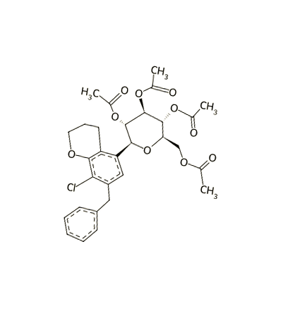 CC(=O)OC[C@H]1O[C@@H](c2cc(Cc3ccccc3)c(Cl)c3c2CCCO3)[C@H](OC(C)=O)[C@@H](OC(C)=O)[C@@H]1OC(C)=O